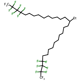 CCC(CCCCCCCCCCC(F)(F)C(F)(F)C(F)(F)C(F)(F)F)CCCCCCCCCCC(F)(F)C(F)(F)C(F)(F)C(F)(F)F